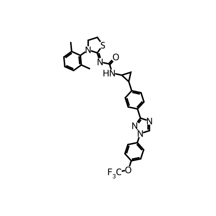 Cc1cccc(C)c1N1CCS/C1=N\C(=O)NC1CC1c1ccc(-c2ncn(-c3ccc(OC(F)(F)F)cc3)n2)cc1